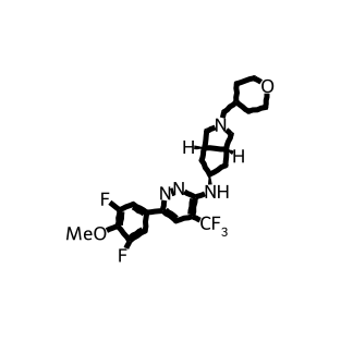 COc1c(F)cc(-c2cc(C(F)(F)F)c(N[C@H]3C[C@@H]4CN(CC5CCOCC5)C[C@@H]4C3)nn2)cc1F